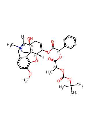 COc1ccc2c3c1O[C@H]1C(OC(=O)[C@@H](OC(=O)[C@H](C)OC(=O)OC(C)(C)C)c4ccccc4)=CC[C@@]4(O)[C@@H](C2)N(C)CC[C@]314